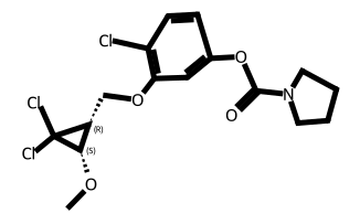 CO[C@H]1[C@@H](COc2cc(OC(=O)N3CCCC3)ccc2Cl)C1(Cl)Cl